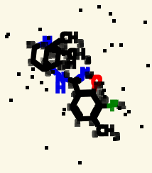 Cc1ccc2c(N[C@H]3C4CCN(CC4)C3(C)C)noc2c1F